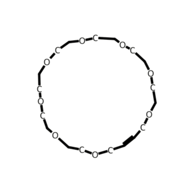 C1=CCOCCOCCOCCOCCOCCOCCOCCOC1